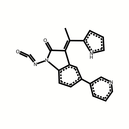 CC(=C1C(=O)N(N=C=O)c2ccc(-c3cccnc3)cc21)c1ccc[nH]1